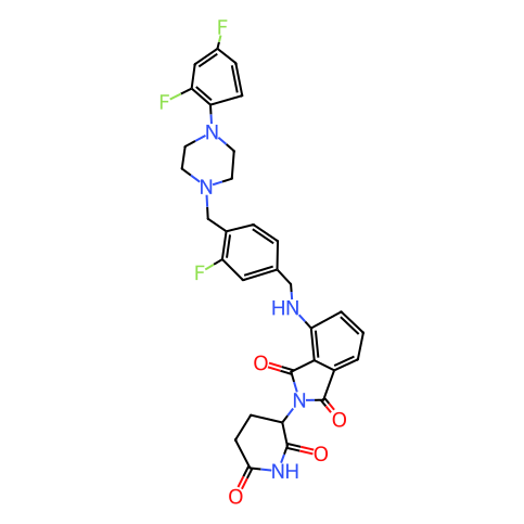 O=C1CCC(N2C(=O)c3cccc(NCc4ccc(CN5CCN(c6ccc(F)cc6F)CC5)c(F)c4)c3C2=O)C(=O)N1